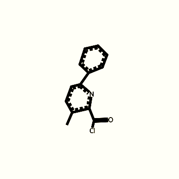 Cc1ccc(-c2ccccc2)nc1C(=O)Cl